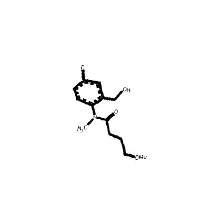 COCCCC(=O)N(C)c1ccc(F)cc1CO